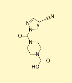 N#Cc1cnn(C(=O)N2CCN(C(=O)O)CC2)c1